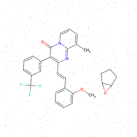 C1CC2OC2C1.COc1ccccc1C=Cc1nc2c(C)cccn2c(=O)c1-c1cccc(C(F)(F)F)c1